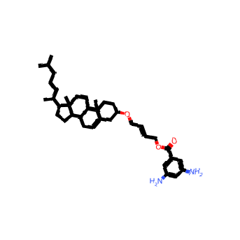 CC(C)CCCC(C)C1CCC2C3CC=C4CC(OC/C=C/COC(=O)c5cc(N)cc(N)c5)CCC4(C)C3CCC12C